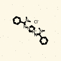 CN(C)C(=Nn1cc[n+](N=C(c2ccccc2)N(C)C)c1)c1ccccc1.[Cl-]